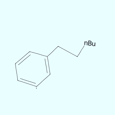 CCCCCCc1c[c]ccc1